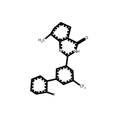 Cc1cccc2c(=O)[nH]c(-c3cc(-c4ccccc4F)cc(C(F)(F)F)c3)nc12